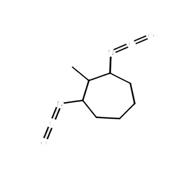 CC1C(N=C=O)CCCCC1N=C=O